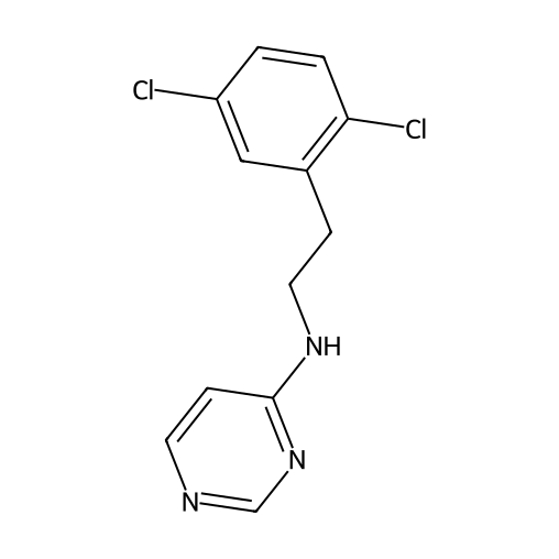 Clc1ccc(Cl)c(CCNc2ccncn2)c1